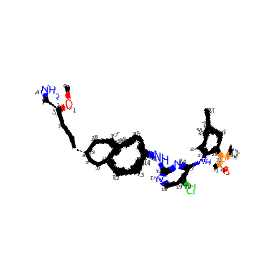 CO[C@H](CN)CCC[C@H]1CCc2ccc(Nc3ncc(Cl)c(Nc4ccc(C)cc4P(C)(C)=O)n3)cc2CC1